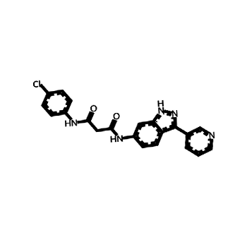 O=C(CC(=O)Nc1ccc2c(-c3cccnc3)n[nH]c2c1)Nc1ccc(Cl)cc1